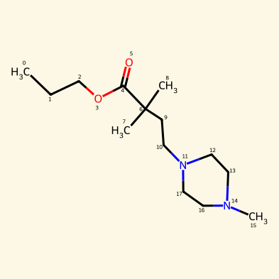 CCCOC(=O)C(C)(C)CCN1CCN(C)CC1